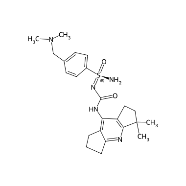 CN(C)Cc1ccc([S@](N)(=O)=NC(=O)Nc2c3c(nc4c2CCC4(C)C)CCC3)cc1